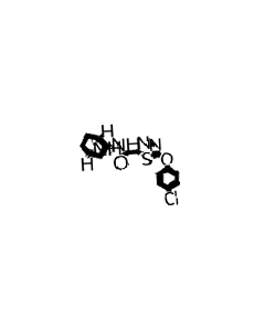 O=C(N[C@@H]1C[C@H]2CC[C@@H]1N2)c1nnc(Oc2ccc(Cl)cc2)s1